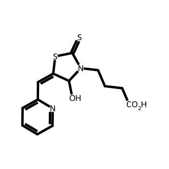 O=C(O)CCCN1C(=S)S/C(=C/c2ccccn2)C1O